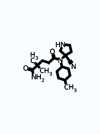 CC1CCC(N(C(=O)[CH]CC(C)(C)C(N)=O)C2(C#N)CCNC2)CC1